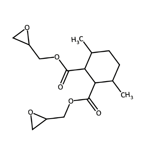 CC1CCC(C)C(C(=O)OCC2CO2)C1C(=O)OCC1CO1